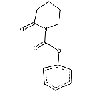 O=C1CCCCN1C(=O)Oc1ccccc1